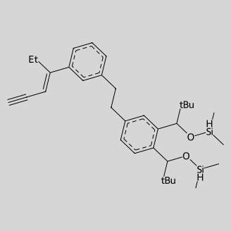 C#CC=C(CC)c1cccc(CCc2ccc(C(O[SiH](C)C)C(C)(C)C)c(C(O[SiH](C)C)C(C)(C)C)c2)c1